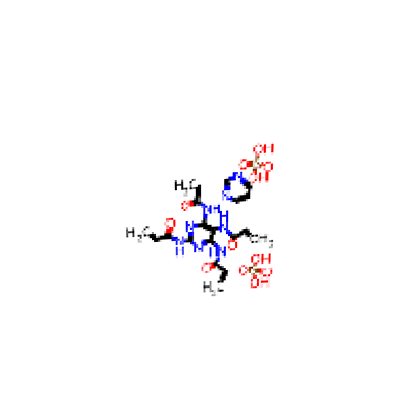 C=CC(=O)Nc1nc(NC(=O)C=C)c(NC(=O)C=C)c(NC(=O)C=C)n1.O=S(=O)(O)O.O=S(=O)(O)O.c1cncnc1